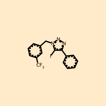 FC(F)(F)c1cccc(Cn2nnc(-c3ccccc3)c2I)c1